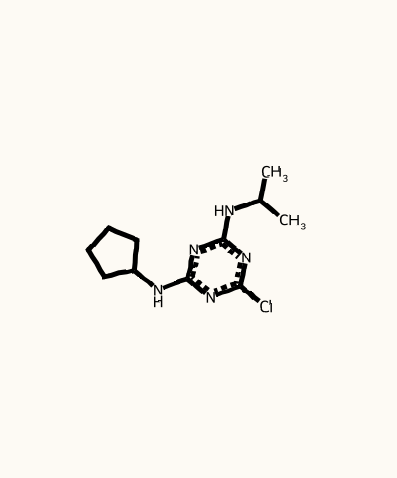 CC(C)Nc1nc(Cl)nc(NC2CCCC2)n1